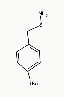 CC(C)(C)c1ccc(CSN)cc1